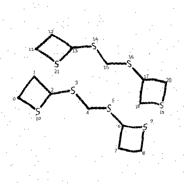 C1CC(SCSC2CCS2)S1.C1CC(SCSC2CSC2)S1